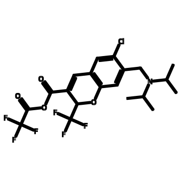 CC(C)N(Cc1cc2c(cc1Cl)C=C(C(=O)OC(=O)C(F)(F)F)C(C(F)(F)F)O2)C(C)C